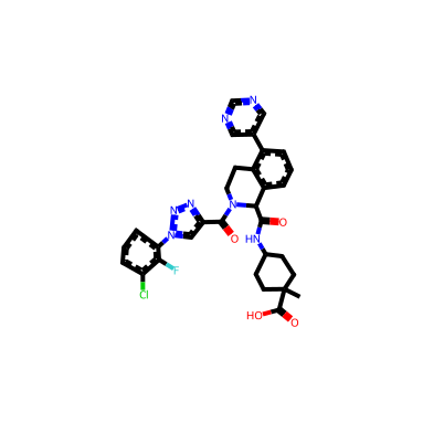 CC1(C(=O)O)CCC(NC(=O)C2c3cccc(-c4cncnc4)c3CCN2C(=O)c2cn(-c3cccc(Cl)c3F)nn2)CC1